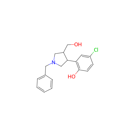 OCC1CN(Cc2ccccc2)CC1c1cc(Cl)ccc1O